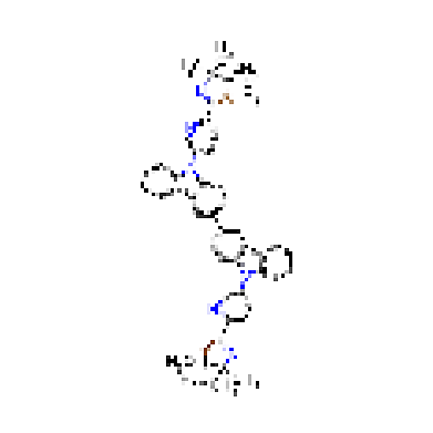 CC1(C)N=C(c2ccc(-n3c4ccccc4c4cc(-c5ccc6c(c5)c5ccccc5n6-c5ccc(C6=NC(C)(C)C(C)(C)S6)nc5)ccc43)cn2)SC1(C)C